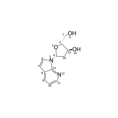 OC[C@H]1O[C@@H](n2ccc3cccnc32)C[C@@H]1O